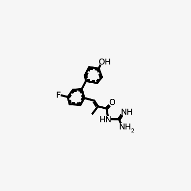 C/C(=C\c1ccc(F)cc1-c1ccc(O)cc1)C(=O)NC(=N)N